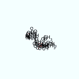 CC[N+]1(c2ccccc2C(NC(=O)OCCC(=O)OC)(c2ccccc2)c2ccccc2NC(=O)OC(C)(C)C)CCN(C(=O)NCC(=O)N[C@@H]2S[C@H]3CC(=O)N3C(C(=O)OC(c3ccccc3)c3ccccc3)=C2CSc2nnnn2C)C(=O)C1=O